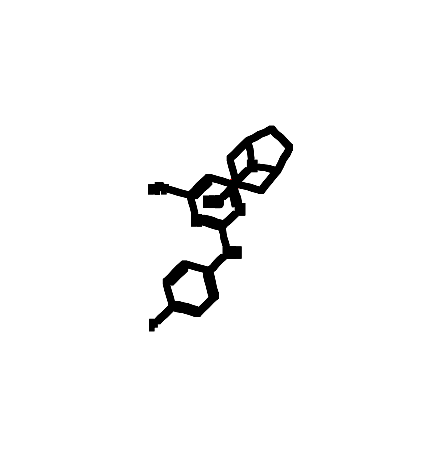 CCCc1cc(N2C3CCC2CC(O)C3)nc(Nc2ccc(F)cc2)n1